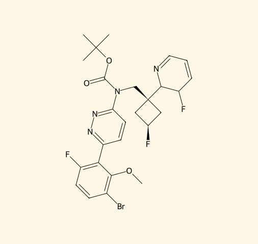 COc1c(Br)ccc(F)c1-c1ccc(N(C[C@]2(C3N=CC=CC3F)C[C@H](F)C2)C(=O)OC(C)(C)C)nn1